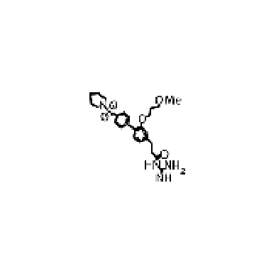 COCCCOc1cc(CCC(=O)NC(=N)N)ccc1-c1ccc(S(=O)(=O)N2CCCCC2)cc1